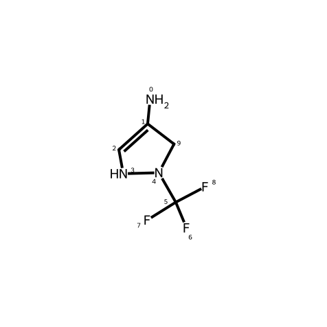 NC1=CNN(C(F)(F)F)C1